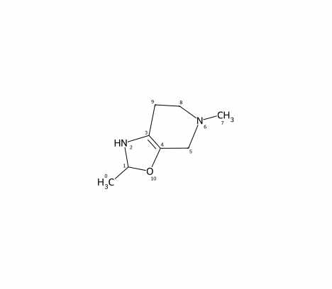 CC1NC2=C(CN(C)CC2)O1